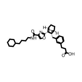 O=C(O)CCc1cccc(C[C@@H]2[C@H](c3nc(C(=O)NCCCCC4CCCCC4)co3)[C@H]3CC[C@@H]2O3)c1